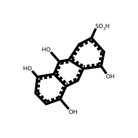 O=S(=O)(O)c1cc(O)c2cc3c(O)ccc(O)c3c(O)c2c1